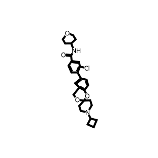 O=C(NC1CCOCC1)c1ccc(-c2ccc3c(c2)COC2(CCN(C4CCC4)CC2)O3)c(Cl)c1